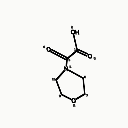 O=C(O)C(=O)N1CCOCC1